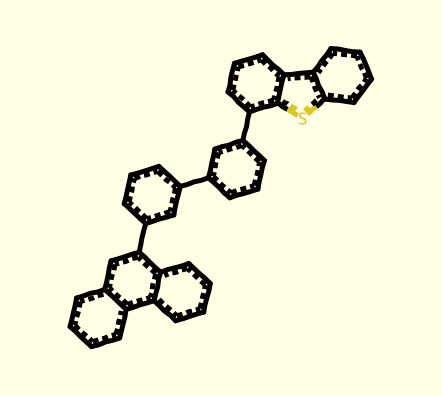 c1cc(-c2cccc(-c3cccc4c3sc3ccccc34)c2)cc(-c2cc3ccccc3c3ccccc23)c1